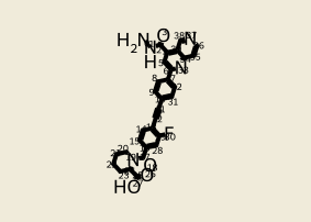 NNC(=O)c1cc(-c2ccc(C#Cc3ccc(C(=O)N4CCCCC4C(=O)O)cc3F)cc2)nc2ccncc12